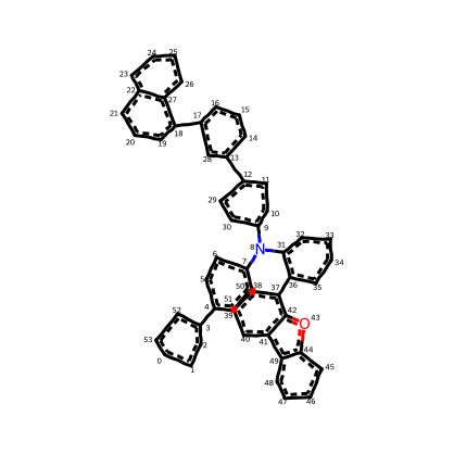 c1ccc(-c2ccc(N(c3ccc(-c4cccc(-c5cccc6ccccc56)c4)cc3)c3ccccc3-c3cccc4c3oc3ccccc34)cc2)cc1